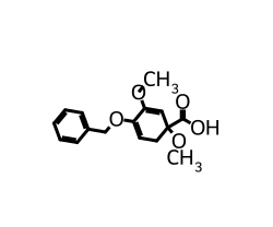 COC1=CC(OC)(C(=O)O)CC=C1OCc1ccccc1